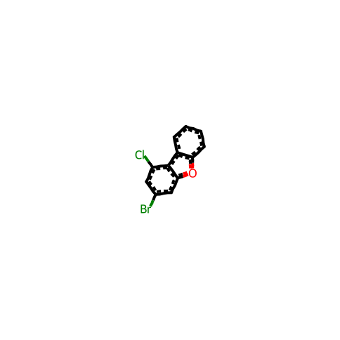 Clc1cc(Br)cc2oc3ccccc3c12